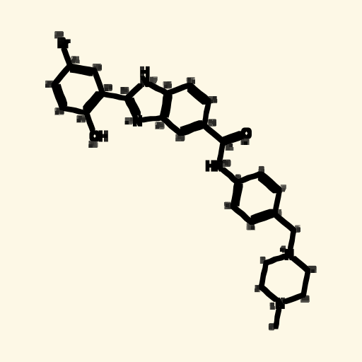 CN1CCN(Cc2ccc(NC(=O)c3ccc4[nH]c(-c5cc(Br)ccc5O)nc4c3)cc2)CC1